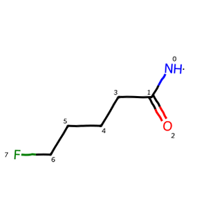 [NH]C(=O)CCCCF